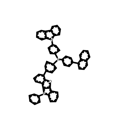 c1ccc(-n2c3ccccc3c3oc4c(-c5ccc(N(c6ccc(-c7cccc8ccccc78)cc6)c6ccc(-n7c8ccccc8c8ccccc87)cc6)cc5)cccc4c32)cc1